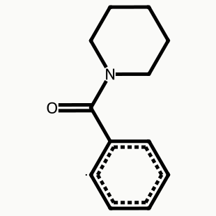 O=C(c1[c]cccc1)N1CCCCC1